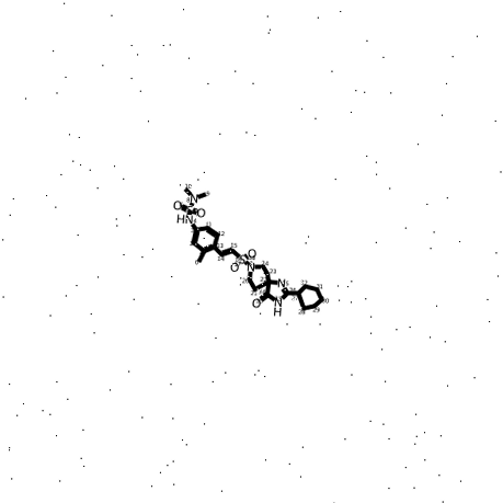 Cc1cc(NS(=O)(=O)N(C)C)ccc1C=CS(=O)(=O)N1CCC2(CC1)N=C(C1CCCCC1)NC2=O